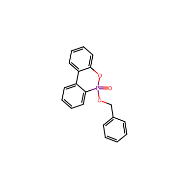 O=P1(OCc2ccccc2)Oc2ccccc2-c2ccccc21